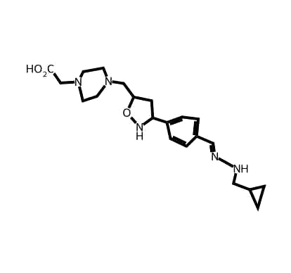 O=C(O)CN1CCN(CC2CC(c3ccc(C=NNCC4CC4)cc3)NO2)CC1